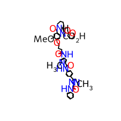 COc1cc2c(cc1OCCCC(=O)Nc1cc(C(=O)Nc3ccc(-c4cn(C)c(C(=O)Nc5ccccc5)n4)cc3)n(C)c1)N(C(=O)O)C(OC1CCCCO1)[C@@H]1CCCCN1C2=O